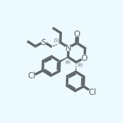 CCSC[C@H](CC)N1C(=O)CO[C@H](c2cccc(Cl)c2)[C@H]1c1ccc(Cl)cc1